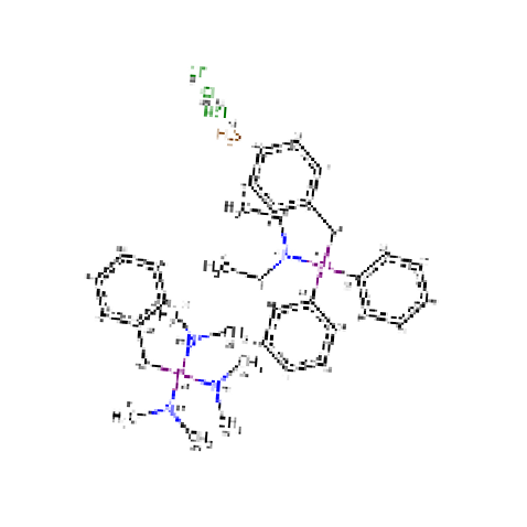 CCN(CC)[P+](Cc1ccccc1)(c1ccccc1)c1ccccc1.CN(C)[P+](Cc1ccccc1)(N(C)C)N(C)C.Cl.S.[Cl-].[Cl-]